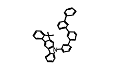 CC1(C)c2ccccc2-c2cc3c4ccccc4n(-c4cccc(-c5cccc(-c6cccc(-c7ccccc7)c6)c5)c4)c3cc21